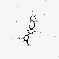 CN(CC(=O)c1cc(O)cc(O)c1)C(=O)CC1CCCCC1